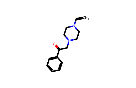 C=CN1CCN(CC(=O)c2ccccc2)CC1